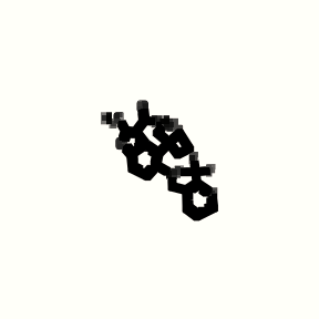 Cc1oc2ccc(OCc3cccnc3C(F)(F)F)c(C3(CN)CCC3)c2c1C(N)=O